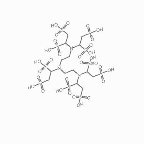 O=S(=O)(O)CC(N(CCN(C(CS(=O)(=O)O)S(=O)(=O)O)C(CS(=O)(=O)O)S(=O)(=O)O)CCN(C(CS(=O)(=O)O)S(=O)(=O)O)C(CS(=O)(=O)O)S(=O)(=O)O)S(=O)(=O)O